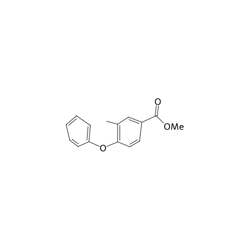 COC(=O)c1ccc(Oc2ccccc2)c(C)c1